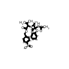 C=C(C)C(C(=O)OCc1ccc([N+](=O)[O-])cc1)N1C(=O)C(NC(C)=O)(Oc2ccccc2)C1I